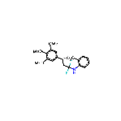 COc1cc(CCC(F)(F)Nc2ccccc2C(=O)O)cc(OC)c1OC